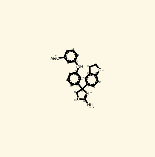 COc1cccc(Nc2cccc(C3(c4ccc5c(c4)CCO5)COC(N)=N3)c2)c1